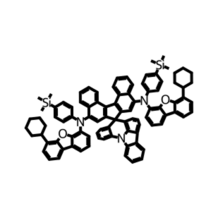 C[Si](C)(C)c1ccc(N(c2cc3c(c4ccccc24)-c2c(cc(N(c4ccc([Si](C)(C)C)cc4)c4cccc5c4oc4c(C6CCCCC6)cccc45)c4ccccc24)C32c3ccccc3-n3c4ccccc4c4cccc2c43)c2cccc3c2oc2c(C4CCCCC4)cccc23)cc1